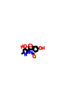 Cc1cc(O)c(C([C]=O)(NC=O)c2ccc(O)cc2)cn1